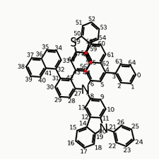 c1ccc(-c2cc(N(c3ccc4c(c3)c3ccccc3n4-c3ccccc3)c3cccc(-c4cccc5ccccc45)c3-c3ccc4c(c3)sc3ccccc34)cc3ccccc23)cc1